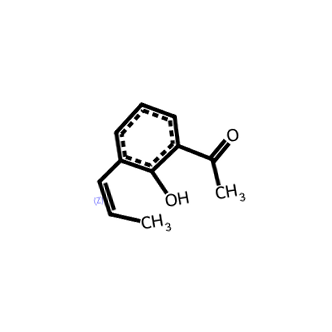 C/C=C\c1cccc(C(C)=O)c1O